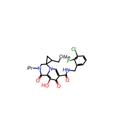 COCC1CC12CN(C(C)C)C(=O)c1c(O)c(=O)c(C(=O)NCc3cccc(Cl)c3F)cn12